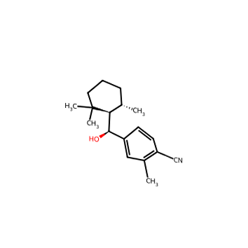 Cc1cc([C@@H](O)[C@@H]2[C@@H](C)CCCC2(C)C)ccc1C#N